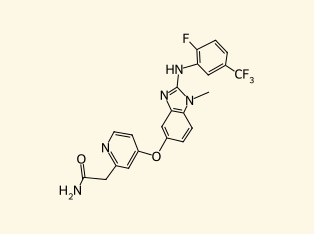 Cn1c(Nc2cc(C(F)(F)F)ccc2F)nc2cc(Oc3ccnc(CC(N)=O)c3)ccc21